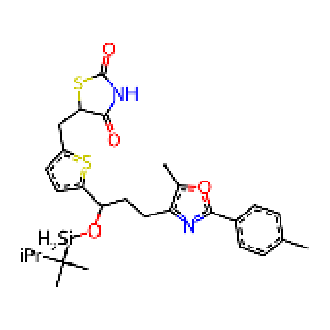 Cc1ccc(-c2nc(CCC(O[SiH2]C(C)(C)C(C)C)c3ccc(CC4SC(=O)NC4=O)s3)c(C)o2)cc1